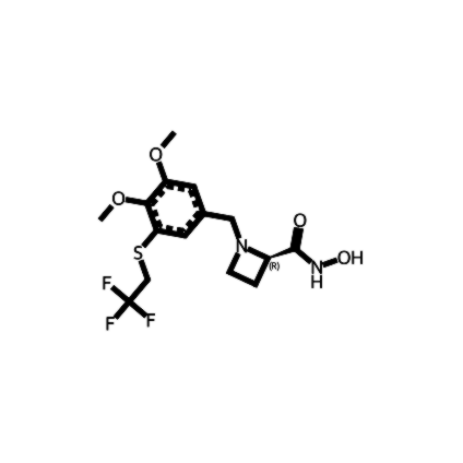 COc1cc(CN2CC[C@@H]2C(=O)NO)cc(SCC(F)(F)F)c1OC